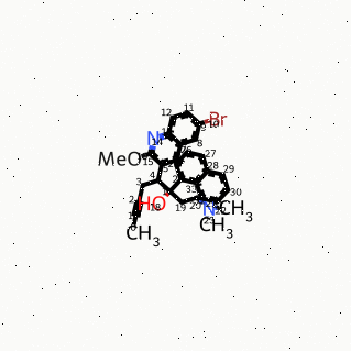 CC#CCC(c1cc2cc(Br)ccc2nc1OC)C(O)(CCN(C)C)c1cccc2ccccc12